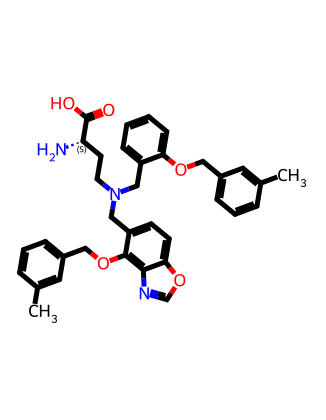 Cc1cccc(COc2ccccc2CN(CC[C@H](N)C(=O)O)Cc2ccc3ocnc3c2OCc2cccc(C)c2)c1